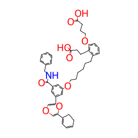 O=C(O)CCCOc1cccc(CCCCCCOc2cc(C(=O)NCc3ccccc3)cc(C3=COC=C(C4=CC=CCC4)O3)c2)c1CCC(=O)O